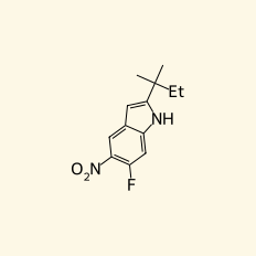 CCC(C)(C)c1cc2cc([N+](=O)[O-])c(F)cc2[nH]1